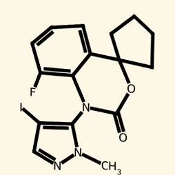 Cn1ncc(I)c1N1C(=O)OC2(CCCC2)c2cccc(F)c21